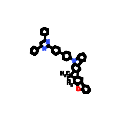 CC1(C)c2cc3oc4ccccc4c3cc2-c2cc3c4ccccc4n(-c4ccc(-c5ccc(-c6nc(-c7ccccc7)cc(-c7ccccc7)n6)cc5)cc4)c3cc21